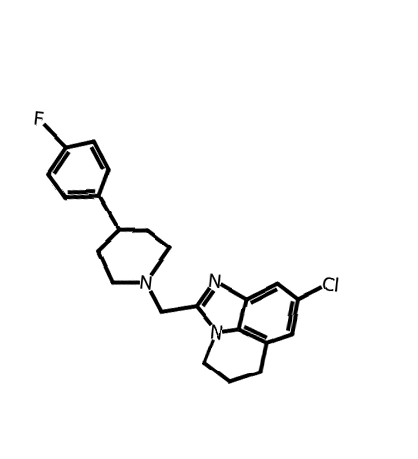 Fc1ccc(C2CCN(Cc3nc4cc(Cl)cc5c4n3CCC5)CC2)cc1